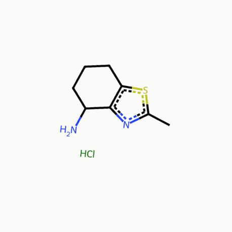 Cc1nc2c(s1)CCCC2N.Cl